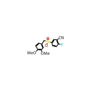 COc1ccc(CS(=O)(=O)c2ccc(F)c(C#N)c2)cc1OC